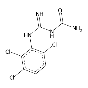 N=C(NC(N)=O)Nc1c(Cl)ccc(Cl)c1Cl